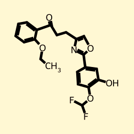 CCOc1ccccc1C(=O)CCc1coc(-c2ccc(OC(F)F)c(O)c2)n1